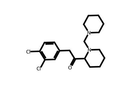 O=C(Cc1ccc(Cl)c(Cl)c1)C1CCCCN1CN1CCCCC1